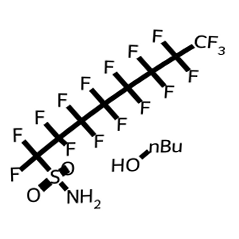 CCCCO.NS(=O)(=O)C(F)(F)C(F)(F)C(F)(F)C(F)(F)C(F)(F)C(F)(F)C(F)(F)C(F)(F)F